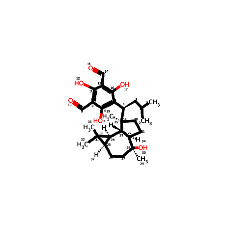 CC(C)C[C@H](c1c(O)c(C=O)c(O)c(C=O)c1O)[C@@]1(C)CC[C@@H]2[C@@H]1[C@H]1[C@@H](CC[C@]2(C)O)C1(C)C